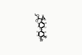 COC(=O)C1(c2ccc(-c3ccc(Br)c(F)c3)cc2)CC1